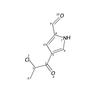 CC(Cl)C(=O)c1c[nH]c(C=O)c1